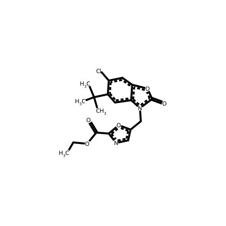 CCOC(=O)c1ncc(Cn2c(=O)oc3cc(Cl)c(C(C)(C)C)cc32)o1